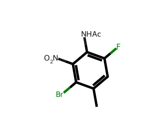 CC(=O)Nc1c(F)cc(C)c(Br)c1[N+](=O)[O-]